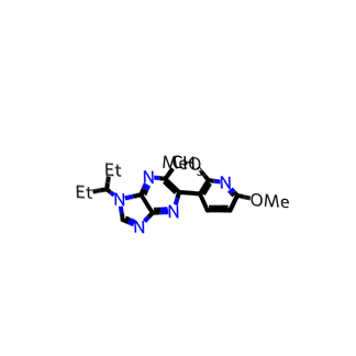 CCC(CC)n1cnc2nc(-c3ccc(OC)nc3OC)c(C)nc21